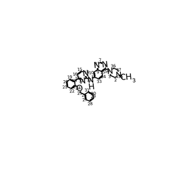 CN1CCN(c2ncnc3cc(Nc4nccc(-c5ccccc5OCc5ccccc5)n4)ccc23)CC1